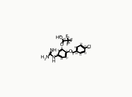 N=C(N)Nc1ccc(OCc2ccc(Cl)cc2)cc1.O=C(O)C(F)(F)F